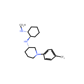 O=C(O)N[C@@H]1CCCC[C@H]1N[C@H]1CCCN(c2ccc(C(F)(F)F)cc2)C1